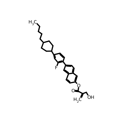 C=C(CO)C(=O)Oc1ccc2cc(-c3ccc(C4CCC(CCCCC)CC4)cc3F)ccc2c1